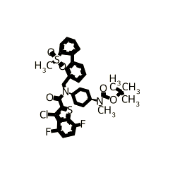 CN(C(=O)OC(C)(C)C)[C@H]1CC[C@H](N(Cc2cccc(-c3ccccc3S(C)(=O)=O)c2)C(=O)c2sc3c(F)ccc(F)c3c2Cl)CC1